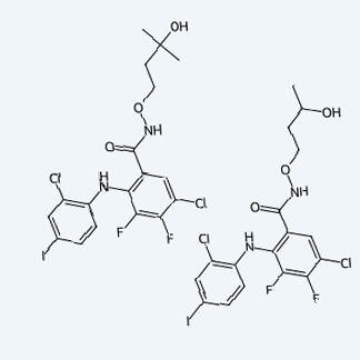 CC(C)(O)CCONC(=O)c1cc(Cl)c(F)c(F)c1Nc1ccc(I)cc1Cl.CC(O)CCONC(=O)c1cc(Cl)c(F)c(F)c1Nc1ccc(I)cc1Cl